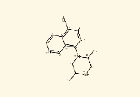 CC1CN(c2nnc(Cl)c3ccncc23)C(C)CN1